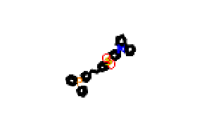 O=S(=O)(c1ccc(/C=C/c2ccc(P(c3ccccc3)c3ccccc3)cc2)cc1)c1ccc(-n2c3ccccc3c3ccccc32)cc1